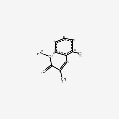 CCCOC(=O)C(C#N)=Cc1ccccc1Cl